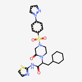 O=C(Nc1nccs1)C(CC1CCCCC1)N1CCN(S(=O)(=O)c2ccc(-n3cccn3)cc2)CC1=O